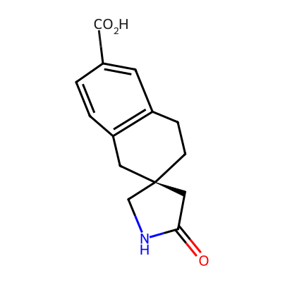 O=C1C[C@@]2(CCc3cc(C(=O)O)ccc3C2)CN1